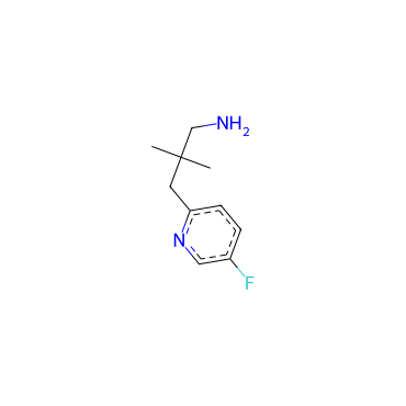 CC(C)(CN)Cc1ccc(F)cn1